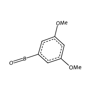 COc1cc(B=O)cc(OC)c1